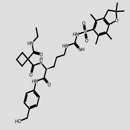 CCNC(=O)C1(C(=O)N[C@@H](CCCNC(=N)NS(=O)(=O)c2c(C)c(C)c3c(c2C)CC(C)(C)O3)C(=O)Nc2ccc(CO)cc2)CCC1